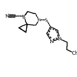 CCCn1cc(SN2CCB(C#N)C3(CC3)C2)cn1